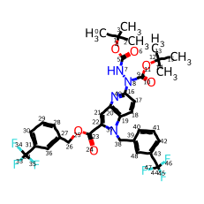 CC(C)(C)OC(=O)NN(C(=O)OC(C)(C)C)c1ccc2c(cc(C(=O)OCc3cccc(C(F)(F)F)c3)n2Cc2cccc(C(F)(F)F)c2)n1